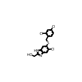 OCc1nc2cc(Cl)c(SCc3ccc(Cl)cc3Cl)cc2[nH]1